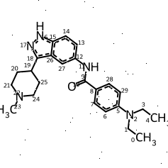 CCN(CC)c1ccc(C(=O)Nc2ccc3[nH]nc(C4CCN(C)CC4)c3c2)cc1